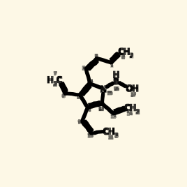 C=C/C=C\c1c(C=C)c(/C=C\C)c(C=C)n1BO